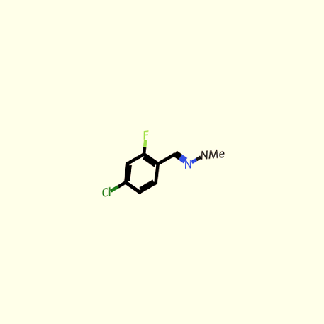 CNN=Cc1ccc(Cl)cc1F